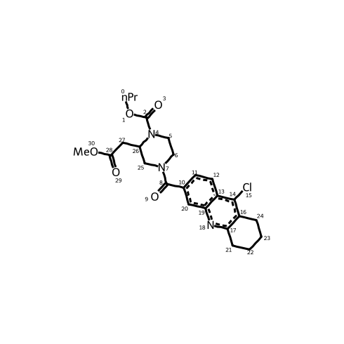 CCCOC(=O)N1CCN(C(=O)c2ccc3c(Cl)c4c(nc3c2)CCCC4)CC1CC(=O)OC